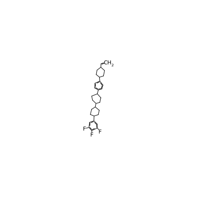 C=CC1CCC(c2ccc(C3CCC(C4CCC(c5cc(F)c(F)c(F)c5)CC4)CC3)cc2)CC1